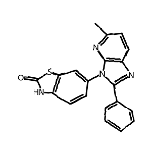 Cc1ccc2nc(-c3ccccc3)n(-c3ccc4[nH]c(=O)sc4c3)c2n1